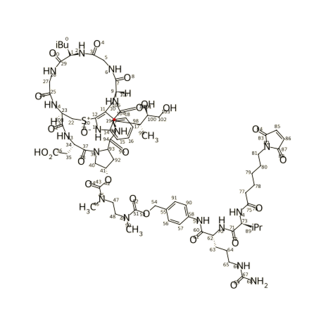 CC[C@H](C)[C@H]1NC(=O)CNC(=O)[C@H]2Cc3c([nH]c4ccccc34)[S+]([O-])C[C@H](NC(=O)CNC1=O)C(=O)N[C@@H](CC(=O)O)C(=O)N1C[C@@H](OC(=O)N(C)CCN(C)C(=O)OCc3ccc(NC(=O)[C@@H](CCCNC(N)=O)NC(=O)[C@@H](NC(=O)CCCCCN4C(=O)C=CC4=O)C(C)C)cc3)CC1C(=O)N[C@H]([C@@H](C)[C@@H](O)CO)C(=O)N2